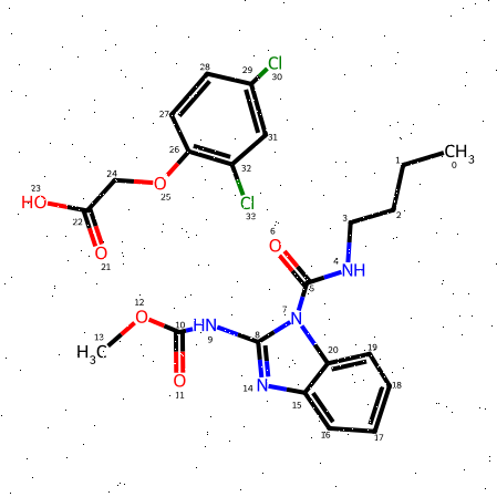 CCCCNC(=O)n1c(NC(=O)OC)nc2ccccc21.O=C(O)COc1ccc(Cl)cc1Cl